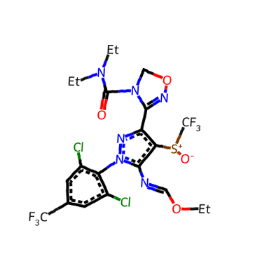 CCOC=Nc1c([S+]([O-])C(F)(F)F)c(C2=NOCN2C(=O)N(CC)CC)nn1-c1c(Cl)cc(C(F)(F)F)cc1Cl